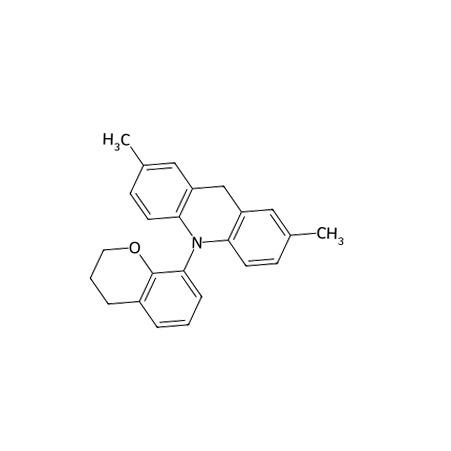 Cc1ccc2c(c1)Cc1cc(C)ccc1N2c1cccc2c1OCCC2